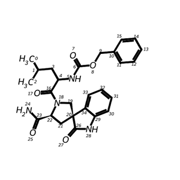 CC(C)CC(NC(=O)OCc1ccccc1)C(=O)N1C[C@]2(C[C@H]1C(N)=O)C(=O)Nc1ccccc12